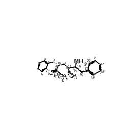 NC(=O)[C@H](Cc1ccccc1)C[C@H](O)[C@@H](N)Cc1ccccc1